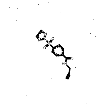 C#CCNC(=O)c1ccc(S(=O)(=O)n2nccn2)cc1